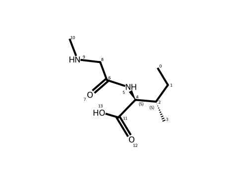 CC[C@H](C)[C@H](NC(=O)CNC)C(=O)O